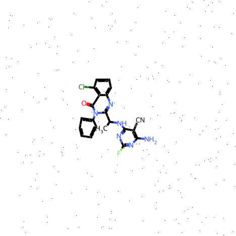 CC(Nc1nc(F)nc(N)c1C#N)c1nc2cccc(Cl)c2c(=O)n1-c1ccccc1